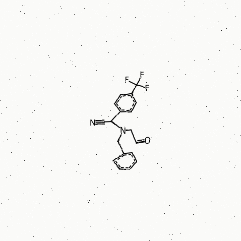 N#CC(c1ccc(C(F)(F)F)cc1)N(CC=O)Cc1ccccc1